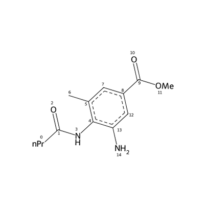 CCCC(=O)Nc1c(C)cc(C(=O)OC)cc1N